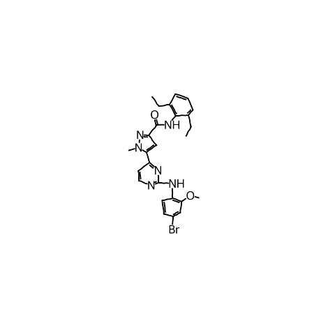 CCc1cccc(CC)c1NC(=O)c1cc(-c2ccnc(Nc3ccc(Br)cc3OC)n2)n(C)n1